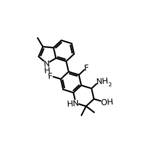 Cc1c[nH]c2c(-c3c(F)cc4c(c3F)C(N)C(O)C(C)(C)N4)cccc12